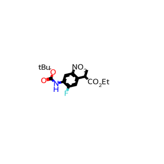 CCOC(=O)C(C)c1cc(F)c(NC(=O)OC(C)(C)C)cc1[N+](=O)[O-]